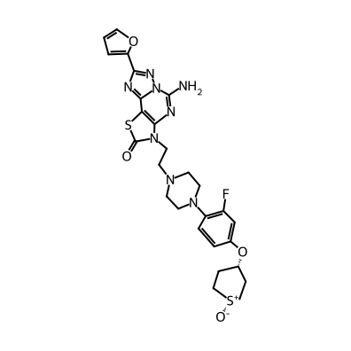 Nc1nc2c(sc(=O)n2CCN2CCN(c3ccc(O[C@H]4CC[S@@+]([O-])CC4)cc3F)CC2)c2nc(-c3ccco3)nn12